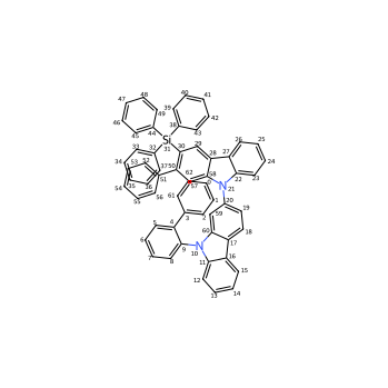 c1ccc(-c2ccccc2-n2c3ccccc3c3ccc(-n4c5ccccc5c5cc([Si](c6ccccc6)(c6ccccc6)c6ccccc6)c(-c6ccccc6)cc54)cc32)cc1